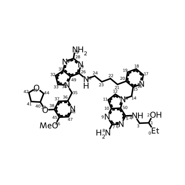 CCC(O)CNc1nc(N)nc2ccn(Cc3ncccc3CCCCNc3nc(N)nc4ccn(Cc5cc(OC6CCOC6)c(OC)cn5)c34)c12